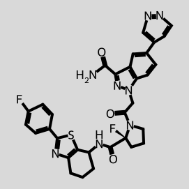 NC(=O)c1nn(CC(=O)N2CCC[C@]2(F)C(=O)NC2CCCc3nc(-c4ccc(F)cc4)sc32)c2ccc(-c3ccnnc3)cc12